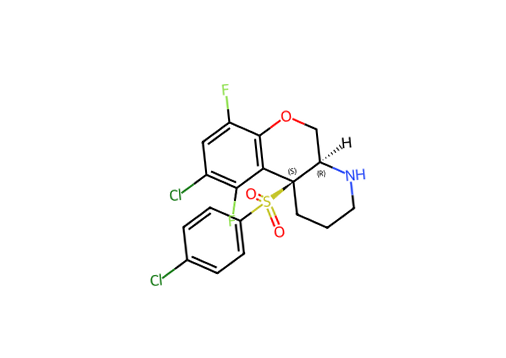 O=S(=O)(c1ccc(Cl)cc1)[C@]12CCCN[C@@H]1COc1c(F)cc(Cl)c(F)c12